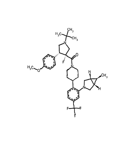 COc1ccc([C@@H]2CN(C(C)(C)C)C[C@@]2(F)C(=O)N2CCC(c3ccc(C(F)(F)F)cc3N3C[C@@H]4[C@@H](C)[C@@H]4C3)CC2)cc1